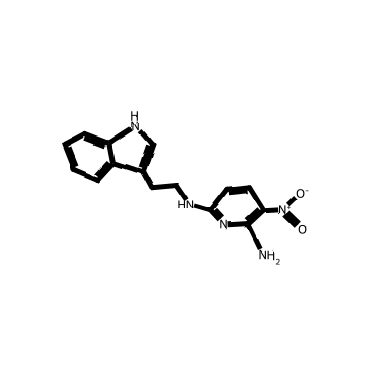 Nc1nc(NCCc2c[nH]c3ccccc23)ccc1[N+](=O)[O-]